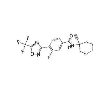 C#CC1(NC(=O)c2ccc(-c3noc(C(F)(F)F)n3)c(F)c2)CCCCC1